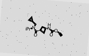 C#COC(=O)N[C@H]1C[C@@H](C(=O)N(CC2CC2)C(C)C)C1